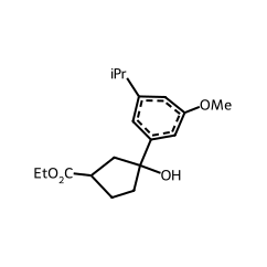 CCOC(=O)C1CCC(O)(c2cc(OC)cc(C(C)C)c2)C1